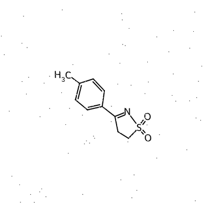 Cc1ccc(C2=NS(=O)(=O)CC2)cc1